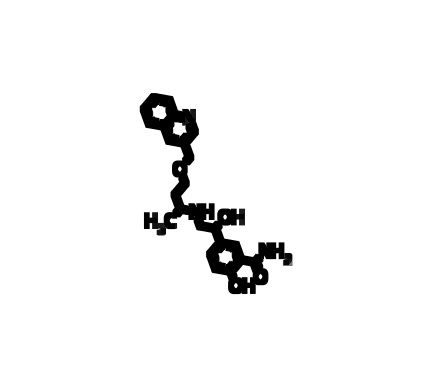 CC(CCOCc1cnc2ccccc2c1)NCC(O)c1ccc(O)c(C(N)=O)c1